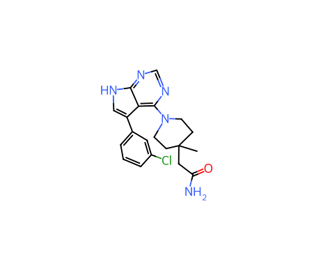 CC1(CC(N)=O)CCN(c2ncnc3[nH]cc(-c4cccc(Cl)c4)c23)CC1